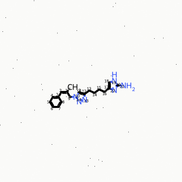 CC(=Cc1ccccc1)Cn1cc(CCCCc2c[nH]c(N)n2)nn1